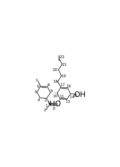 C=C(C)[C@H]1CCC(C)=C[C@@H]1C1C(O)=CC(O)C=C1CCCCI